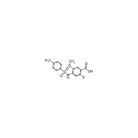 COc1cc(C(=O)O)c(F)cc1NS(=O)(=O)c1ccc(C)cc1